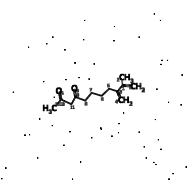 C=C(C)C(=C)CCCCC(=O)CC(C)=O